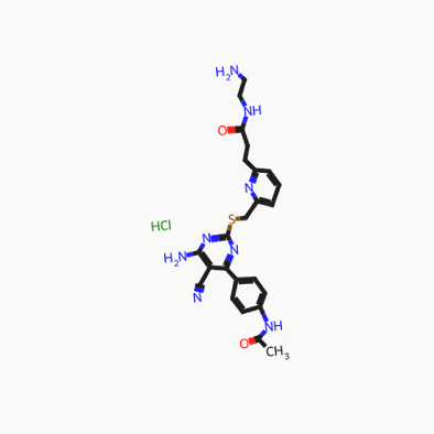 CC(=O)Nc1ccc(-c2nc(SCc3cccc(CCC(=O)NCCN)n3)nc(N)c2C#N)cc1.Cl